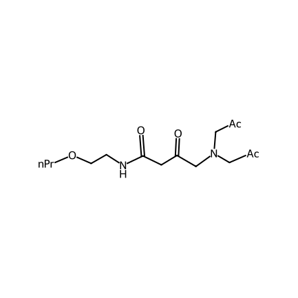 CCCOCCNC(=O)CC(=O)CN(CC(C)=O)CC(C)=O